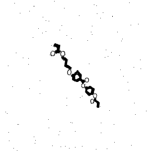 C=CC(=O)OCCCCOc1ccc(C(=O)Oc2ccc(OC(=O)C=C)cc2)cc1